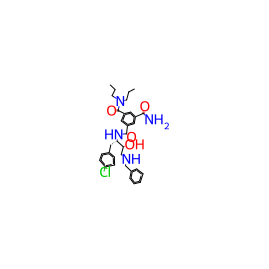 CCCN(CCC)C(=O)c1cc(C(N)=O)cc(C(=O)N[C@@H](Cc2ccc(Cl)cc2)[C@H](O)CNCc2ccccc2)c1